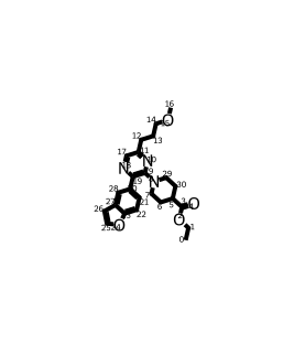 CCOC(=O)C1CCN(c2nc(CCCOC)cnc2-c2ccc3occc3c2)CC1